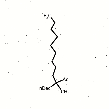 CCCCCCCCCCC(C)(CCCCCCCCC(F)(F)F)C(C)=O